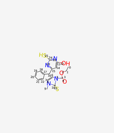 CCOC(=O)n1ccn(C)c1=S.Oc1cc(Cc2ccccc2)nc(S)n1